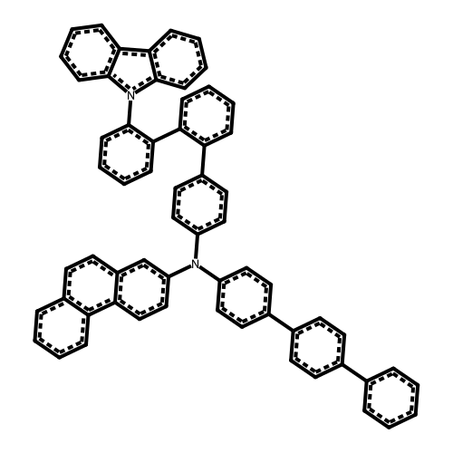 c1ccc(-c2ccc(-c3ccc(N(c4ccc(-c5ccccc5-c5ccccc5-n5c6ccccc6c6ccccc65)cc4)c4ccc5c(ccc6ccccc65)c4)cc3)cc2)cc1